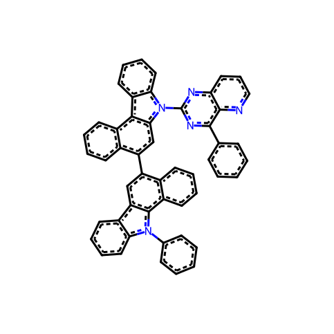 c1ccc(-c2nc(-n3c4ccccc4c4c5ccccc5c(-c5cc6c7ccccc7n(-c7ccccc7)c6c6ccccc56)cc43)nc3cccnc23)cc1